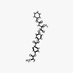 C=C(F)C(=O)Oc1ccc(C(=O)Oc2ccc(OC(=O)C(=C)CC(=O)OC3CCCCC3)cc2)cc1